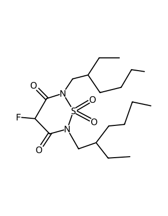 CCCCC(CC)CN1C(=O)C(F)C(=O)N(CC(CC)CCCC)S1(=O)=O